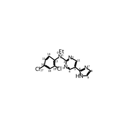 CCN(c1ncc(-c2ncc[nH]2)cn1)c1ccc(Cl)cc1Cl